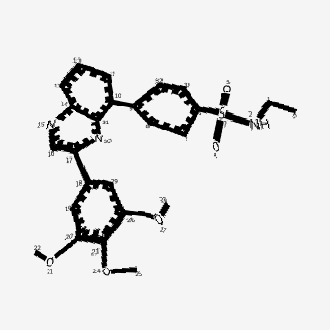 CCNS(=O)(=O)c1ccc(-c2cccc3ncc(-c4cc(OC)c(OC)c(OC)c4)nc23)cc1